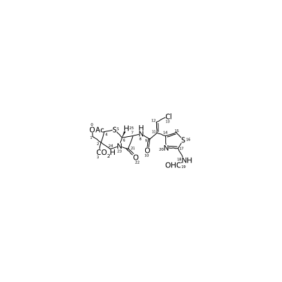 CC(=O)OCC1(C(=O)O)CS[C@@H]2C(NC(=O)C(=CCl)c3csc(NC=O)n3)C(=O)N2C1